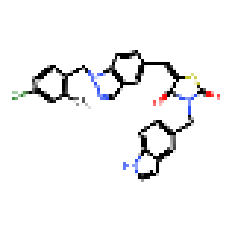 O=C1SC(=Cc2ccc3c(cnn3Cc3ccc(Cl)cc3C(F)(F)F)c2)C(=O)N1Cc1ccc2[nH]ccc2c1